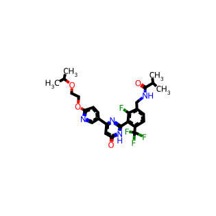 CC(C)OCCOc1ccc(-c2cc(=O)[nH]c(-c3c(C(F)(F)F)ccc(CNC(=O)C(C)C)c3F)n2)cn1